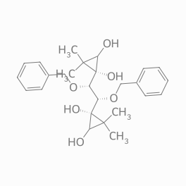 CC1(C)C(O)[C@@]1(O)[C@@H](OCc1ccccc1)[C@H](OCc1ccccc1)[C@]1(O)C(O)C1(C)C